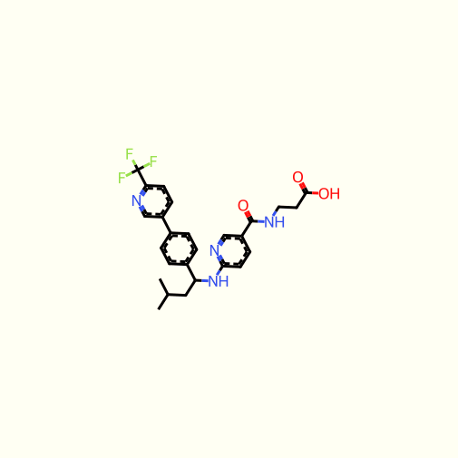 CC(C)CC(Nc1ccc(C(=O)NCCC(=O)O)cn1)c1ccc(-c2ccc(C(F)(F)F)nc2)cc1